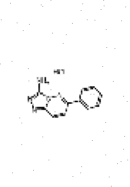 Cl.Nc1nnc2ccc(-c3ccccc3)nn12